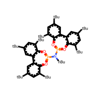 CCCCN(p1oc2c(C(C)(C)C)cc(C(C)(C)C)cc2c2cc(C(C)(C)C)cc(C(C)(C)C)c2o1)p1oc2c(C(C)(C)C)cc(C(C)(C)C)cc2c2cc(C(C)(C)C)cc(C(C)(C)C)c2o1